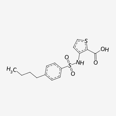 CCCCc1ccc(S(=O)(=O)Nc2ccsc2C(=O)O)cc1